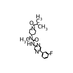 CC(C)C(=O)N1CCC(N(C)C(=O)Nc2cnc(-c3cccc(F)c3)cn2)CC1